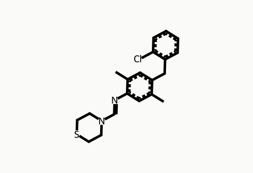 Cc1cc(/N=C/N2CCSCC2)c(C)cc1Cc1ccccc1Cl